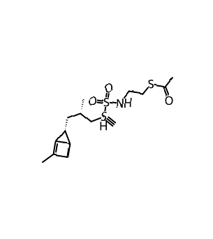 C#[SH](C[C@@H](C)C[C@H]1C2=C(C)CC21)S(=O)(=O)NCCSC(C)=O